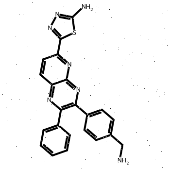 NCc1ccc(-c2nc3nc(-c4nnc(N)s4)ccc3nc2-c2ccccc2)cc1